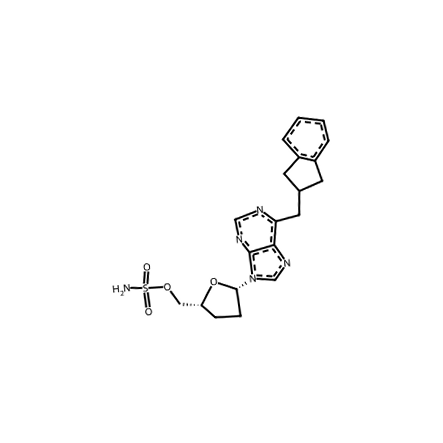 NS(=O)(=O)OC[C@H]1CC[C@@H](n2cnc3c(CC4Cc5ccccc5C4)ncnc32)O1